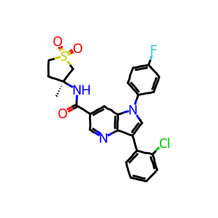 C[C@]1(NC(=O)c2cnc3c(-c4ccccc4Cl)cn(-c4ccc(F)cc4)c3c2)CCS(=O)(=O)C1